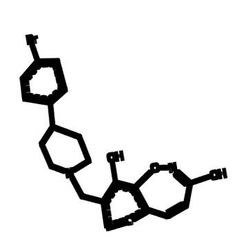 OC1=NOc2c(ccc(CN3CCC(c4ccc(Br)cc4)CC3)c2O)C=C1